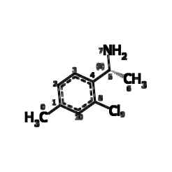 Cc1ccc([C@@H](C)N)c(Cl)c1